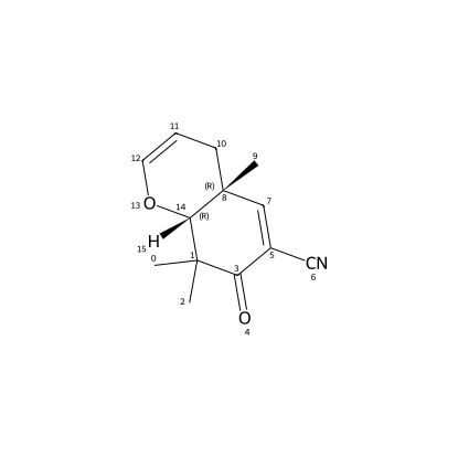 CC1(C)C(=O)C(C#N)=C[C@@]2(C)CC=CO[C@@H]12